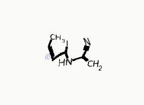 C=C(C#N)NC(I)/C=C\C